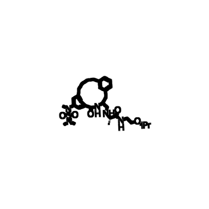 CC(C)OCCNC(=O)[C@H](C)NCC1Cc2cccc(c2)CCCCc2cc(cc(N(C)S(=O)(=O)N(C)C)c2)C(=O)N1